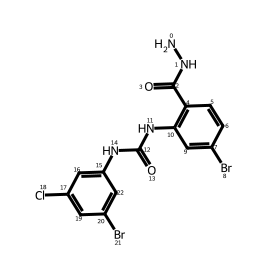 NNC(=O)c1ccc(Br)cc1NC(=O)Nc1cc(Cl)cc(Br)c1